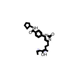 C/C=C\C(O)=C(\C)CCc1cc(-c2ccc(C(=O)NC3CCCC3)cc2)[nH]c(=O)n1